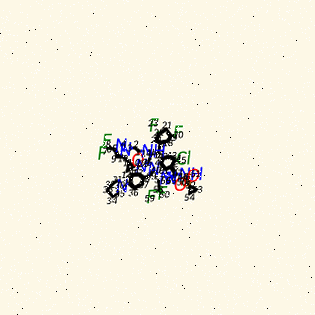 O=C(Cn1nc(C(F)F)cc1C1CC1)N[C@@H](Cc1cc(F)cc(F)c1)C1=Nc2cc(N3CCCCC3)ccc2CN1c1ccc(Cl)c2c(NS(=O)(=O)C3CC3)nn(CC(F)F)c12